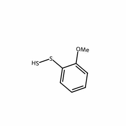 COc1ccccc1SS